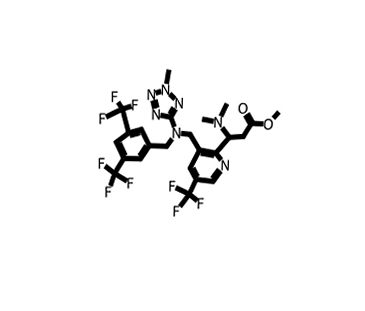 COC(=O)CC(c1ncc(C(F)(F)F)cc1CN(Cc1cc(C(F)(F)F)cc(C(F)(F)F)c1)c1nnn(C)n1)N(C)C